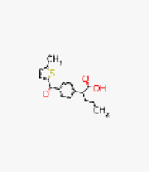 C=CCC(C(=O)O)c1ccc(C(=O)c2ccc(C)s2)cc1